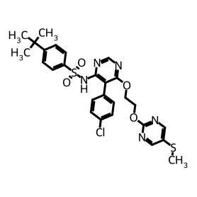 CSc1cnc(OCCOc2ncnc(NS(=O)(=O)c3ccc(C(C)(C)C)cc3)c2-c2ccc(Cl)cc2)nc1